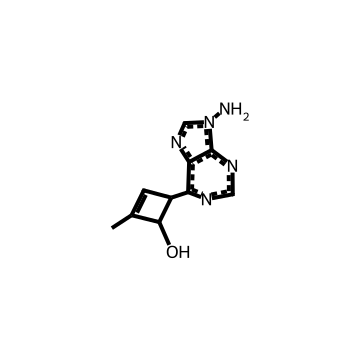 CC1=CC(c2ncnc3c2ncn3N)C1O